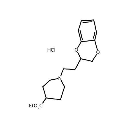 CCOC(=O)C1CCN(CCC2COc3ccccc3O2)CC1.Cl